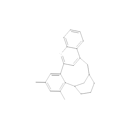 Cc1cc(C)c2c(c1)-c1cc(c3ccccc3n1)CC1CCCC2C1